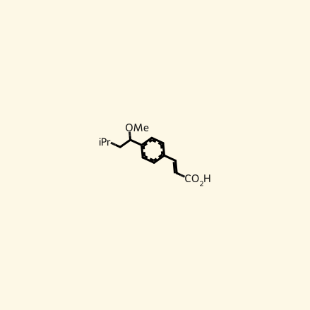 COC(CC(C)C)c1ccc(C=CC(=O)O)cc1